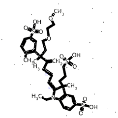 C=C(/C=C/C=C1/N(CC)c2ccc(S(=O)(=O)O)cc2C1(C)CCCS(=O)(=O)O)C(C)(CCOCCOC)c1cc(S(=O)(=O)O)ccc1C